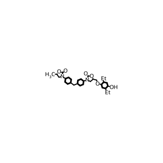 CCc1cc(OCC2CN(c3ccc(Cc4ccc(N5CC(C)OC5=O)cc4)cc3)C(=O)O2)c(CC)cc1O